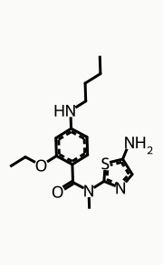 CCCCNc1ccc(C(=O)N(C)c2ncc(N)s2)c(OCC)c1